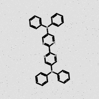 c1ccc(N(c2ccccc2)c2cnc(-c3ncc(N(c4ccccc4)c4ccccc4)cn3)nc2)cc1